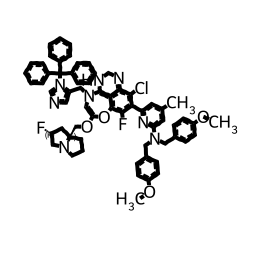 COc1ccc(CN(Cc2ccc(OC)cc2)c2cc(C)cc(-c3c(F)c4c5c(c3Cl)=NCNC=5N(Cc3cncn3C(c3ccccc3)(c3ccccc3)c3ccccc3)C=C(OC[C@@]35CCCN3C[C@H](F)C5)O4)n2)cc1